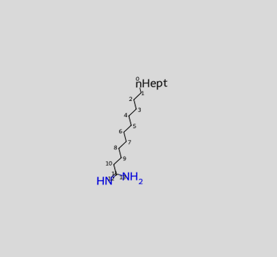 CCCCCCCCCCCCCCCCCC(=N)N